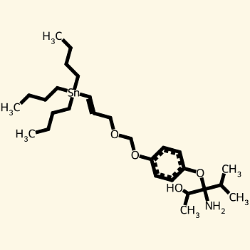 CCC[CH2][Sn]([CH]=CCOCOc1ccc(OC(N)(C(C)C)C(C)O)cc1)([CH2]CCC)[CH2]CCC